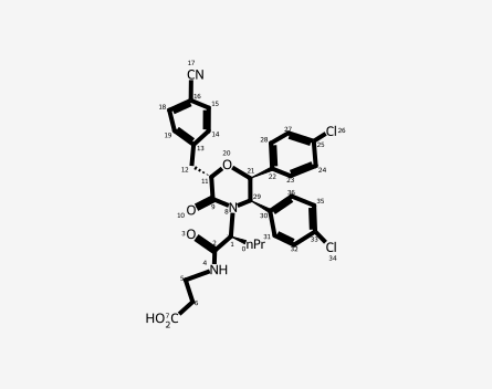 CCC[C@@H](C(=O)NCCC(=O)O)N1C(=O)[C@H](Cc2ccc(C#N)cc2)O[C@@H](c2ccc(Cl)cc2)[C@H]1c1ccc(Cl)cc1